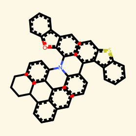 c1ccc(N(c2ccccc2-c2cccc3sc4ccccc4c23)c2cccc3c2oc2ccccc23)c(-c2cccc3cccc(C4CCCCC4)c23)c1